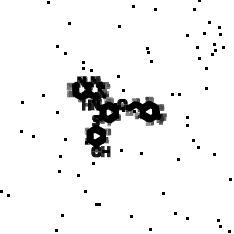 Oc1ccc(Sc2ccc(OCCc3ccc(F)cc3)cc2Nc2ncnc3ncccc23)cc1